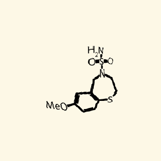 COc1ccc2c(c1)CN(S(N)(=O)=O)CCS2